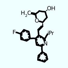 C=C1C[C@H](O)C[C@@H](/C=C/c2c(-c3ccc(F)cc3)cc(-c3ccccc3)nc2C(C)C)O1